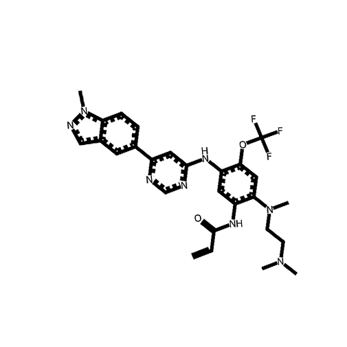 C=CC(=O)Nc1cc(Nc2cc(-c3ccc4c(cnn4C)c3)ncn2)c(OC(F)(F)F)cc1N(C)CCN(C)C